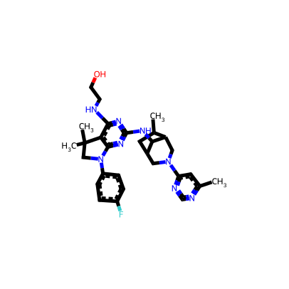 Cc1cc(N2CC3CC(C)C(C2)C3Nc2nc(NCCO)c3c(n2)N(c2ccc(F)cc2)CC3(C)C)ncn1